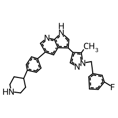 Cc1c(-c2c[nH]c3ncc(-c4ccc(C5CCNCC5)cc4)cc23)cnn1Cc1cccc(F)c1